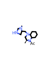 CC(=O)N1C2CCCCC2N(CC2CNCN2C)C[C@@H]1C